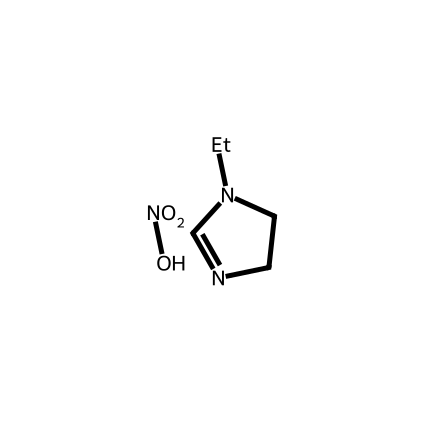 CCN1C=NCC1.O=[N+]([O-])O